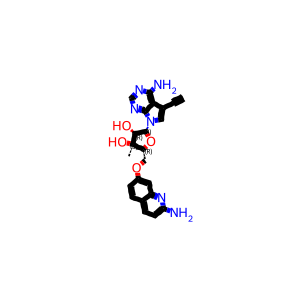 C#Cc1cn([C@@H]2O[C@H](COc3ccc4ccc(N)nc4c3)[C@@](C)(O)[C@H]2O)c2ncnc(N)c12